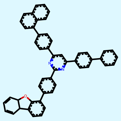 C1=CC2Oc3c(-c4ccc(-c5nc(-c6ccc(-c7ccccc7)cc6)cc(-c6ccc(-c7cccc8ccccc78)cc6)n5)cc4)cccc3C2C=C1